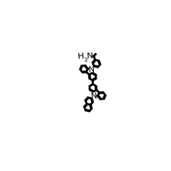 CC(N)c1cccc(-n2c3ccccc3c3cc(C4C=c5c(n(-c6ccc7ccccc7c6)c6ccccc56)=CC4)ccc32)c1